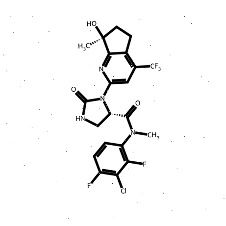 CN(C(=O)[C@@H]1CNC(=O)N1c1cc(C(F)(F)F)c2c(n1)[C@@](C)(O)CC2)c1ccc(F)c(Cl)c1F